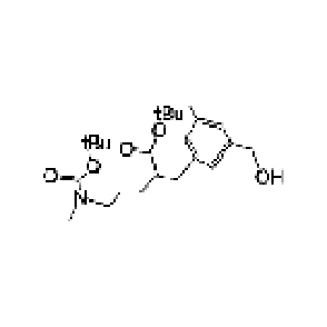 Cc1cc(CO)cc(CC(CCCN(C)C(=O)OC(C)(C)C)C(=O)OC(C)(C)C)c1